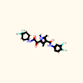 Cc1c(C(=O)Nc2ccc(F)c(F)c2)c(C)n(C)c1C(=O)C(=O)NC1CCC(F)(F)CC1